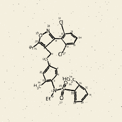 CCN(c1ccc(OCc2c(-c3c(Cl)cccc3Cl)noc2C(C)C)cc1C)S(=O)(=O)c1ccccc1C(=O)O